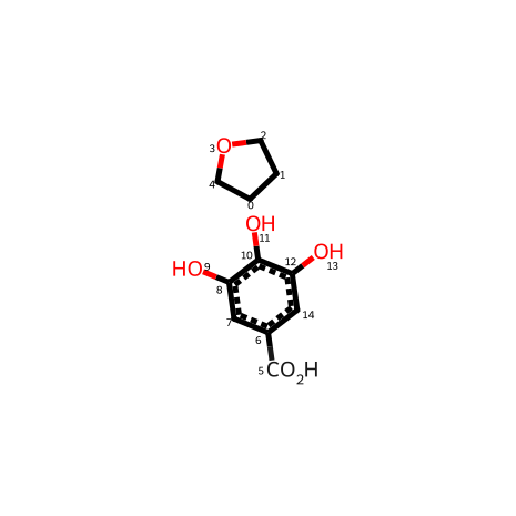 C1CCOC1.O=C(O)c1cc(O)c(O)c(O)c1